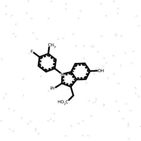 Cc1cc(-n2c(C(C)C)c(CC(=O)O)c3cc(O)ccc32)ccc1F